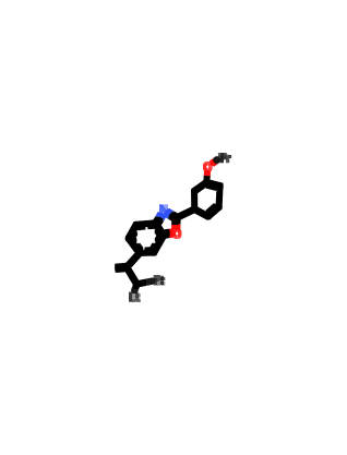 C=C(c1ccc2nc(C3C=CC=C(OC(C)C)C3)oc2c1)C(CC)CC